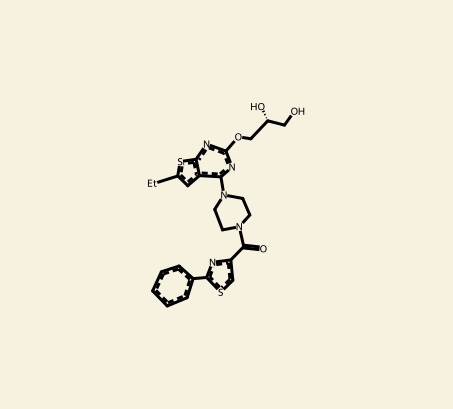 CCc1cc2c(N3CCN(C(=O)c4csc(-c5ccccc5)n4)CC3)nc(OC[C@H](O)CO)nc2s1